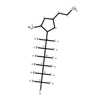 CCCC1CC(C)C(C(F)(F)C(F)(F)C(F)(F)C(F)(F)C(F)(F)C(F)(F)F)C1